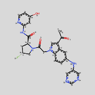 CC(=O)c1cn(CC(=O)N2C[C@H](F)C[C@H]2C(=O)Nc2cc(O)ccn2)c2ccc(Nc3cncnc3)cc12